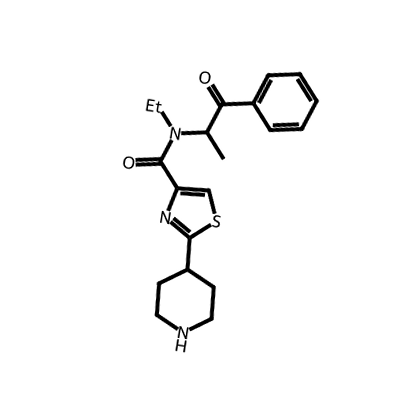 CCN(C(=O)c1csc(C2CCNCC2)n1)C(C)C(=O)c1ccccc1